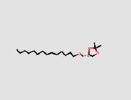 CCCCCCCCCCCCCCOC[C@H]1COC(C)(C)O1